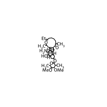 C=C1C[C@@H]2C(=C[C@H]3[C@@H]4C[C@H](O[C@@H]5OC(C)[C@H](OC)C(OC)C5C)C[C@H]4[C@@H](O)[C@H](N)[C@H]32)C(=O)[C@H](C)CCCC[C@H](CC)O1